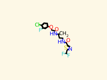 C=C(CCNC(=O)c1cnc(C(F)F)s1)NC(=O)COc1ccc(Cl)c(F)c1